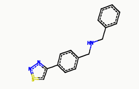 c1ccc(CNCc2ccc(-c3csnn3)cc2)cc1